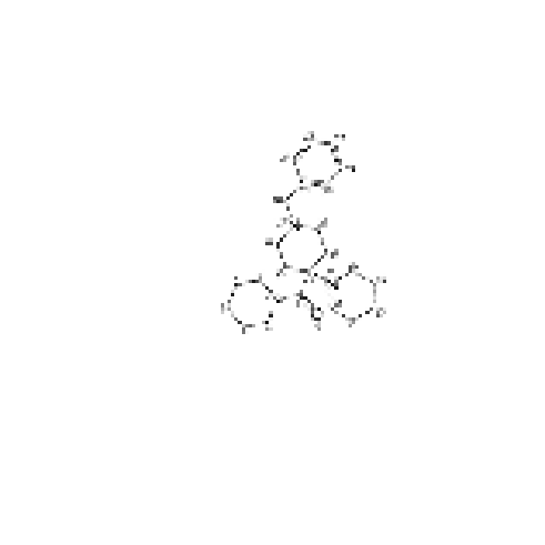 O=C(N1CCCCC1)C1(N2CCCCC2)CCN(Cc2ccccc2)CC1